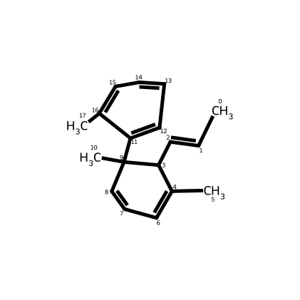 CC=CC1C(C)=CC=CC1(C)c1ccccc1C